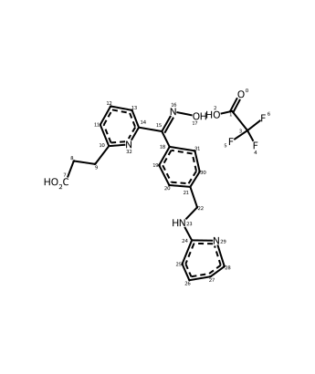 O=C(O)C(F)(F)F.O=C(O)CCc1cccc(C(=NO)c2ccc(CNc3ccccn3)cc2)n1